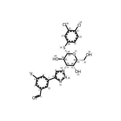 O=Cc1cc(F)cc(-c2cn([C@H]3[C@@H](O)[C@@H](CO)O[C@@H](Sc4ccc(Cl)c(Cl)c4)[C@@H]3O)nn2)c1